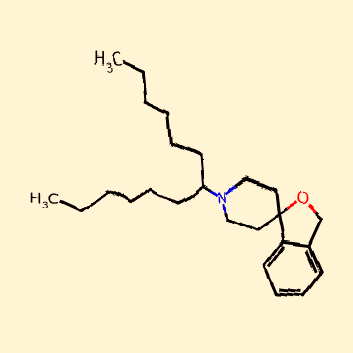 CCCCCCC(CCCCCC)N1CCC2(CC1)OCc1ccccc12